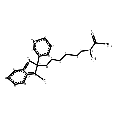 NC(=O)N(O)CCCCCCC1(c2cccnc2)N=c2ccccc2=C1Cl